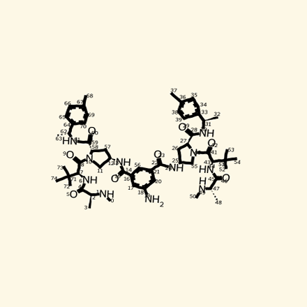 CN[C@@H](C)C(=O)N[C@H](C(=O)N1C[C@@H](NC(=O)c2cc(N)cc(C(=O)N[C@H]3C[C@@H](C(=O)N[C@H](C)c4ccc(C)cc4)N(C(=O)[C@@H](NC(=O)[C@H](C)NC)C(C)(C)C)C3)c2)C[C@H]1C(=O)N[C@H](C)c1ccc(C)cc1)C(C)(C)C